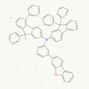 CC1(c2ccccc2)c2cc(N(c3cccc(-c4ccc5c(c4)oc4ccccc45)c3)c3ccc4c(c3)C(c3ccccc3)(c3ccccc3)c3ccccc3-4)ccc2-c2c(-c3ccccc3)cccc21